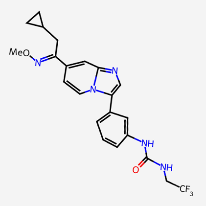 CON=C(CC1CC1)c1ccn2c(-c3cccc(NC(=O)NCC(F)(F)F)c3)cnc2c1